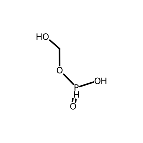 O=[PH](O)OCO